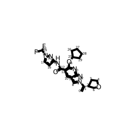 C=C([C@@H]1CCOC1)n1cc2cc(C(=O)Nc3ccn(C(F)F)n3)c(OC3CCCC3)nc2n1